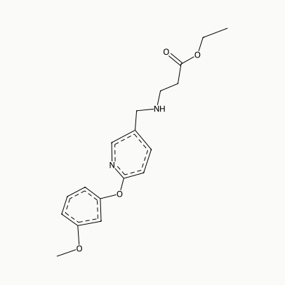 CCOC(=O)CCNCc1ccc(Oc2cccc(OC)c2)nc1